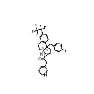 CC(F)(c1ccc2c(c1)CC[C@H]1N(C(=O)Cc3cncnc3)CC[C@@]21Cc1ccc(F)cc1)C(F)(F)F